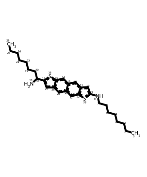 CCCCCCCCNc1cc2cc3cc4sc(C(N)CCCCCCC)cc4cc3cc2s1